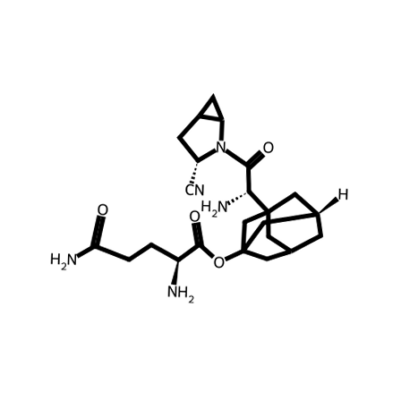 N#C[C@@H]1CC2CC2N1C(=O)[C@@H](N)C12CC3C[C@H](CC(OC(=O)[C@@H](N)CCC(N)=O)(C3)C1)C2